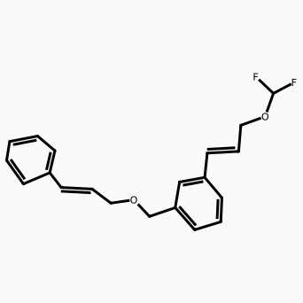 FC(F)OC/C=C/c1cccc(COC/C=C/c2ccccc2)c1